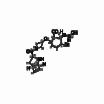 CCc1ccc(OC2CN(C(=O)[C@@H]3C[C@@H]4C#C[C@@H]4N3)C2)c(C(=O)O)c1OBO